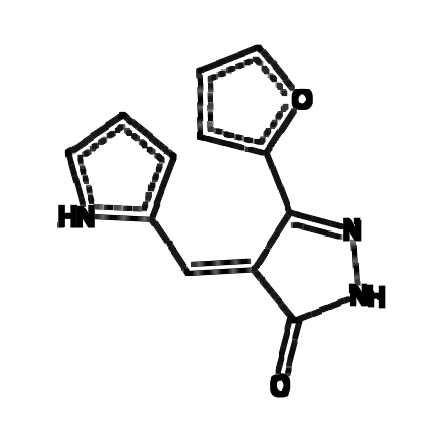 O=C1NN=C(c2ccco2)/C1=C\c1ccc[nH]1